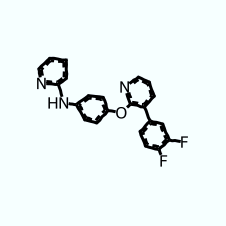 Fc1ccc(-c2cccnc2Oc2ccc(Nc3ccccn3)cc2)cc1F